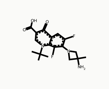 CC1(N)CN(c2c(F)cc3c(=O)c(C(=O)O)cn(C(C)(C)C)c3c2F)C1